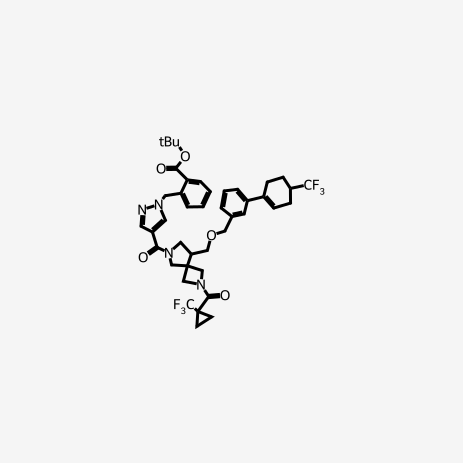 CC(C)(C)OC(=O)c1ccccc1Cn1cc(C(=O)N2CC(COCc3cccc(C4=CCC(C(F)(F)F)CC4)c3)C3(C2)CN(C(=O)C2(C(F)(F)F)CC2)C3)cn1